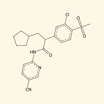 CS(=O)(=O)c1ccc(C(CC2CCCC2)C(=O)Nc2ccc(C#N)cn2)cc1Cl